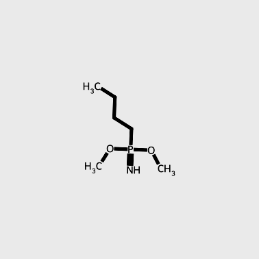 CCCCP(=N)(OC)OC